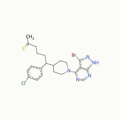 CC(=S)CCCC(c1ccc(Cl)cc1)C1CCN(c2ncnc3[nH]nc(Br)c23)CC1